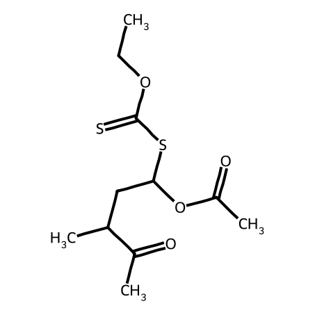 CCOC(=S)SC(CC(C)C(C)=O)OC(C)=O